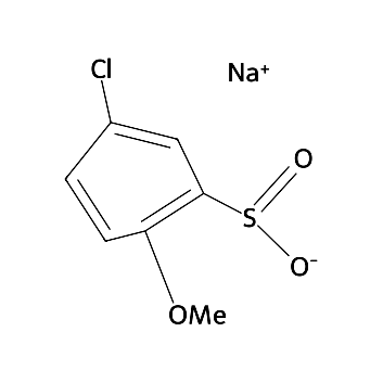 COc1ccc(Cl)cc1S(=O)[O-].[Na+]